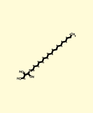 CCCCCCCCCCCCCCCCCCSC(O)C(O)CO